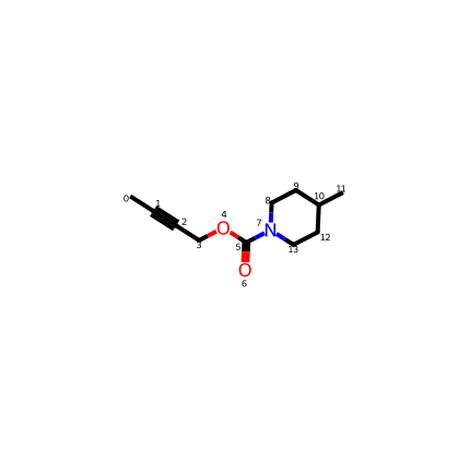 CC#CCOC(=O)N1CCC(C)CC1